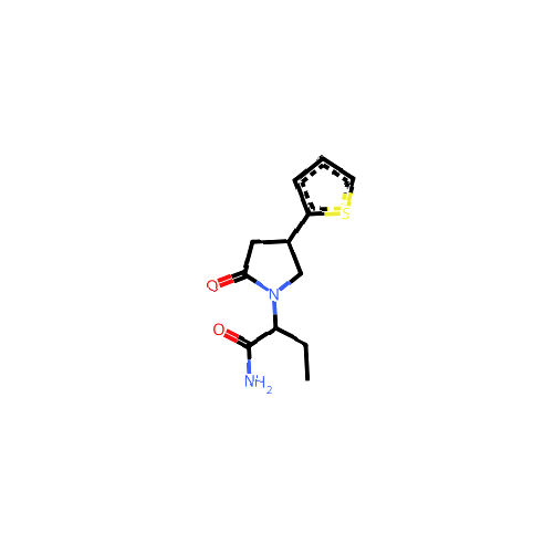 CCC(C(N)=O)N1CC(c2cccs2)CC1=O